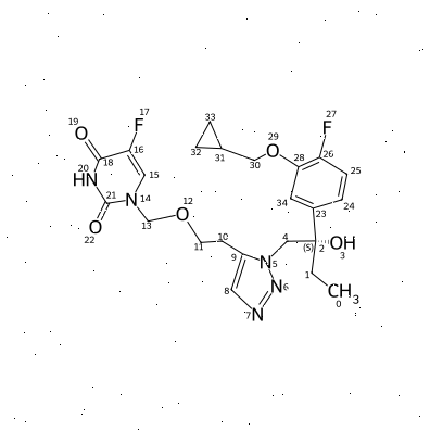 CC[C@@](O)(Cn1nncc1CCOCn1cc(F)c(=O)[nH]c1=O)c1ccc(F)c(OCC2CC2)c1